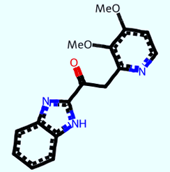 COc1ccnc(CC(=O)c2nc3ccccc3[nH]2)c1OC